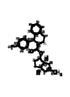 CN1C[C@H]2CC[C@@H](OC(=O)N3CCc4ccccc4[C@@H]3c3ccc(F)cc3)[C@H]2C1